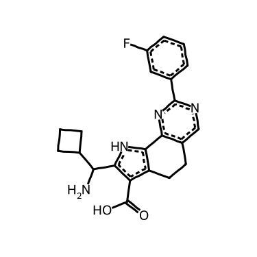 NC(c1[nH]c2c(c1C(=O)O)CCc1cnc(-c3cccc(F)c3)nc1-2)C1CCC1